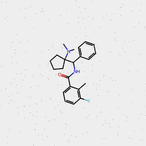 Cc1c(F)cccc1C(=O)NC(c1ccccc1)C1(N(C)C)CCCC1